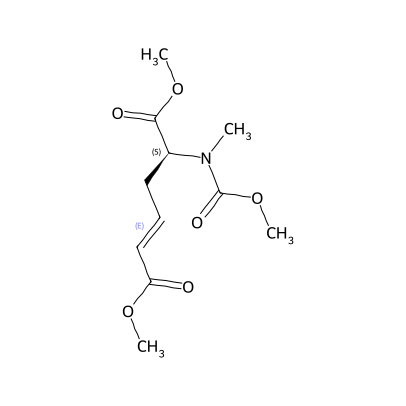 COC(=O)/C=C/C[C@@H](C(=O)OC)N(C)C(=O)OC